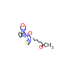 CC(=O)CCCCC[C@@H](C(=O)NCC1(N2CCOCC2)CCCC1)N1C=CSC1